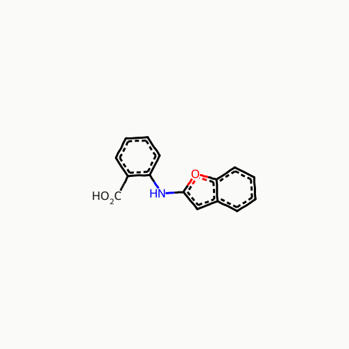 O=C(O)c1ccccc1Nc1cc2ccccc2o1